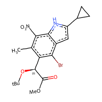 COC(=O)[C@@H](OC(C)(C)C)c1c(C)c([N+](=O)[O-])c2[nH]c(C3CC3)cc2c1Br